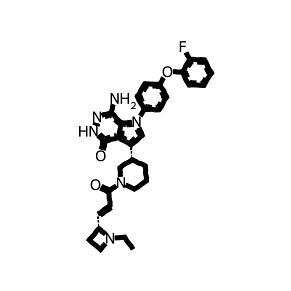 CCN1CC[C@@H]1/C=C/C(=O)N1CCC[C@@H](c2cn(-c3ccc(Oc4ccccc4F)cc3)c3c(N)n[nH]c(=O)c23)C1